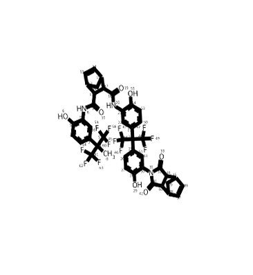 CC(c1ccc(O)c(NC(=O)C2C3C=CC(C3)C2C(=O)Nc2cc(C(c3ccc(O)c(N4C(=O)C5C6C=CC(C6)C5C4=O)c3)(C(F)(F)F)C(F)(F)F)ccc2O)c1)(C(F)(F)F)C(F)(F)F